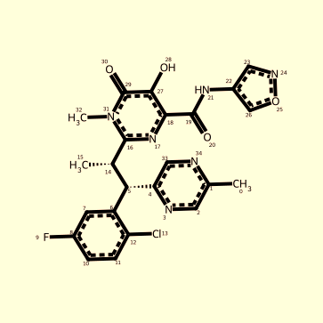 Cc1cnc([C@H](c2cc(F)ccc2Cl)[C@H](C)c2nc(C(=O)Nc3cnoc3)c(O)c(=O)n2C)cn1